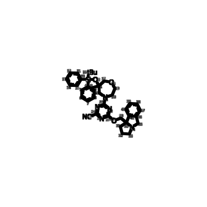 CC1(O[Si](c2ccccc2)(c2ccccc2)C(C)(C)C)COCCN(c2nc(C#N)nc(OCC34CCCN3Cc3ccccc34)n2)C1